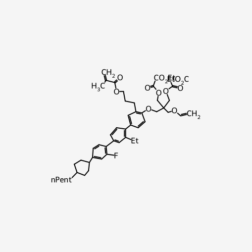 C=COCC(COC(=O)C(=O)OCC)(COC(=O)C(=O)OCC)COc1ccc(-c2ccc(-c3ccc(C4CCC(CCCCC)CC4)cc3F)cc2CC)cc1CCCOC(=O)C(=C)C